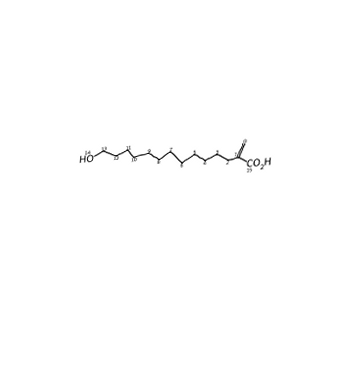 C=C(CCCCCCCCCCCCO)C(=O)O